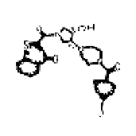 O=C(c1ccc(Cl)cc1)N1CCN([C@H]2CN(C(=O)c3sc4ccccc4c3Cl)C[C@@H]2O)CC1